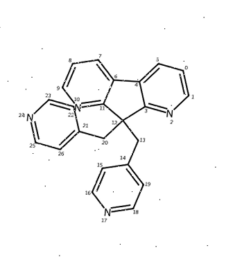 c1cnc2c(c1)-c1cccnc1C2(Cc1ccncc1)Cc1ccncc1